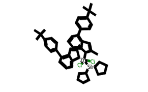 CC1=Cc2c(-c3ccc(C(C)(C)C)cc3)cccc2[CH]1[Zr]([Cl])([Cl])([CH]1C(C)=Cc2c(-c3ccc(C(C)(C)C)cc3)cccc21)[SiH](C1CCCC1)C1CCCC1